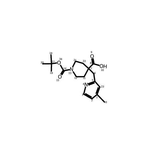 Cc1ccnc(CC2(C(=O)O)CCN(C(=O)OC(C)(C)C)CC2)c1